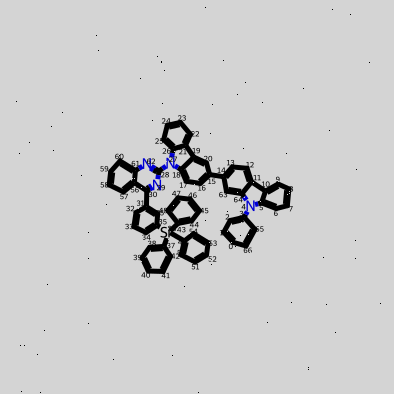 c1ccc(-n2c3ccccc3c3ccc(-c4ccc5c(c4)c4ccccc4n5-c4nc(-c5cccc([Si](c6ccccc6)(c6ccccc6)c6ccccc6)c5)c5ccccc5n4)cc32)cc1